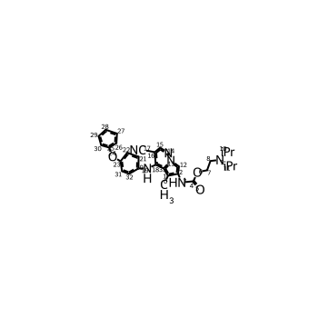 Cc1c(NC(=O)OCCN(C(C)C)C(C)C)cn2ncc(C#N)c(Nc3ccc(Oc4ccccc4)cc3)c12